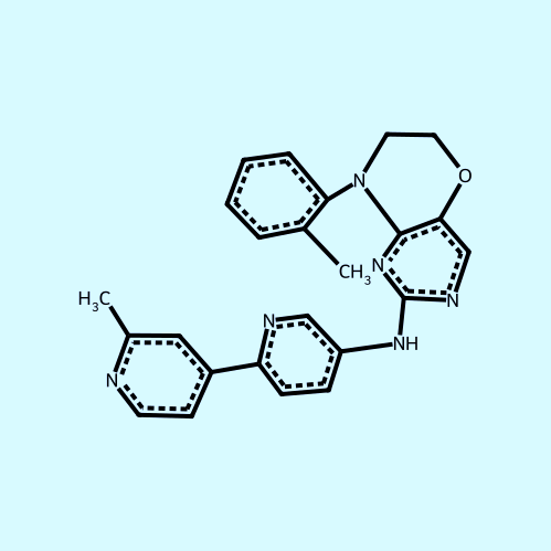 Cc1cc(-c2ccc(Nc3ncc4c(n3)N(c3ccccc3C)CCO4)cn2)ccn1